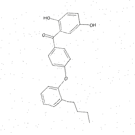 CCCCc1ccccc1Oc1ccc(C(=O)c2cc(O)ccc2O)cc1